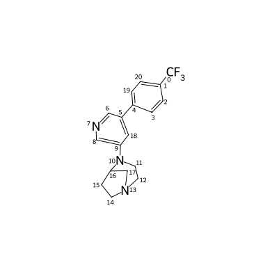 FC(F)(F)c1ccc(-c2cncc(N3CCN4CCC3C4)c2)cc1